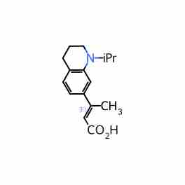 C/C(=C\C(=O)O)c1ccc2c(c1)N(C(C)C)CCC2